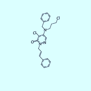 O=c1c(Cl)c(N(CCCCl)Cc2ccccc2)cnn1CC=Cc1ccccc1